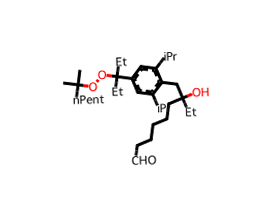 CCCCCC(C)(C)OOC(CC)(CC)c1cc(C(C)C)c(CC(O)(CC)CCCCCC=O)c(C(C)C)c1